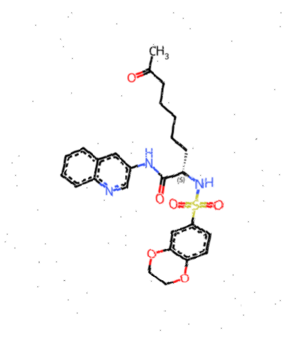 CC(=O)CCCCC[C@H](NS(=O)(=O)c1ccc2c(c1)OCCO2)C(=O)Nc1cnc2ccccc2c1